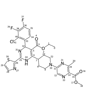 CCOC(=O)C1=C(C2CCN(c3cnc(C(=O)OC)c(C)n3)CC2)NC(c2nccs2)=NC1c1ccc(F)c(F)c1Cl